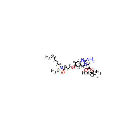 CCCCCCN(C)C(=O)CCCOc1ccc2c(c1)CN(CC(=O)OC(C)(C)C)C(N)=N2